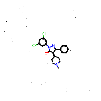 CN1CCC(=C2C(=O)N(c3cc(Cl)cc(Cl)c3)N=C2c2ccccc2)CC1